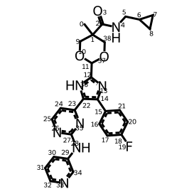 CC1(C(=O)NCC2CC2)COC(c2nc(-c3ccc(F)cc3)c(-c3ccnc(Nc4cccnc4)n3)[nH]2)OC1